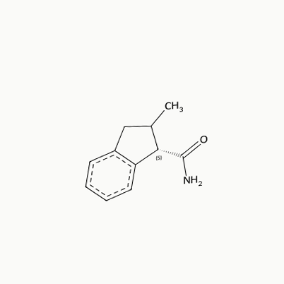 CC1Cc2ccccc2[C@H]1C(N)=O